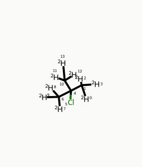 [2H]C([2H])([2H])C(Cl)(C([2H])([2H])[2H])C([2H])([2H])[2H]